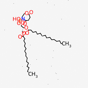 CCCCCCCCCCCCCCCC(=O)OC[C@H](COP(=O)(O)N1CCOC(=O)CCC1=O)OC(=O)CCCCCCCCCCCCCCC